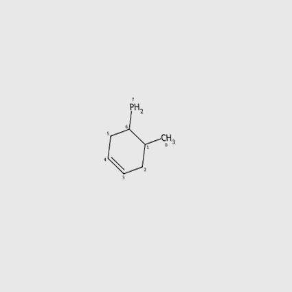 CC1CC=CCC1P